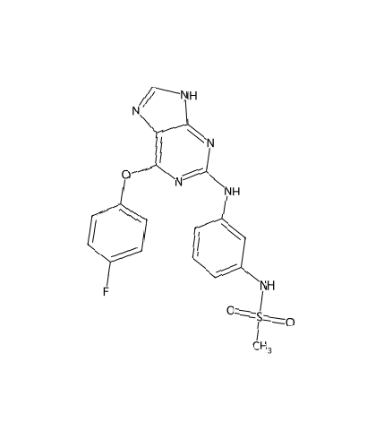 CS(=O)(=O)Nc1cccc(Nc2nc(Oc3ccc(F)cc3)c3nc[nH]c3n2)c1